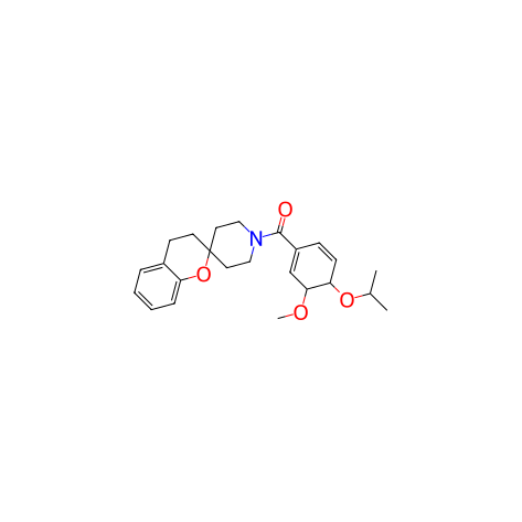 COC1C=C(C(=O)N2CCC3(CCc4ccccc4O3)CC2)C=CC1OC(C)C